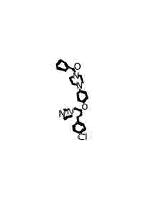 O=C(c1ccccc1)N1CCN(c2ccc(OC(CCc3ccc(Cl)cc3)Cn3ccnc3)cc2)CC1